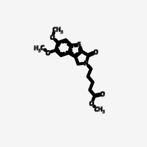 COC(=O)CCCCN1Cc2c(sc3cc(OC)c(OC)cc23)C1=O